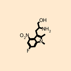 Cc1c(CC(N)CO)c2c([N+](=O)[O-])cc(F)cc2n1C